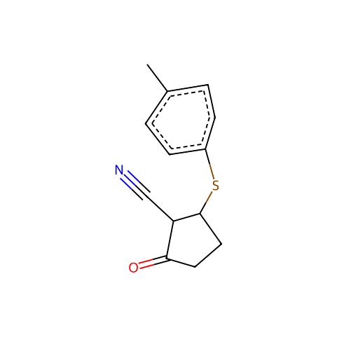 Cc1ccc(SC2CCC(=O)C2C#N)cc1